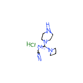 Cl.N#C/N=C(\N1CCC1)N1CCNCC1